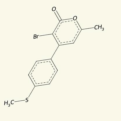 CSc1ccc(-c2cc(C)oc(=O)c2Br)cc1